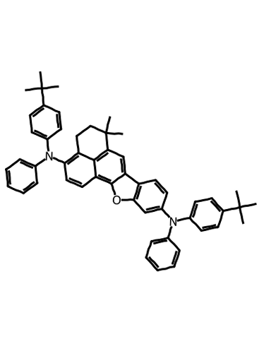 CC(C)(C)c1ccc(N(c2ccccc2)c2ccc3c(c2)oc2c4ccc(N(c5ccccc5)c5ccc(C(C)(C)C)cc5)c5c4c(cc32)C(C)(C)CC5)cc1